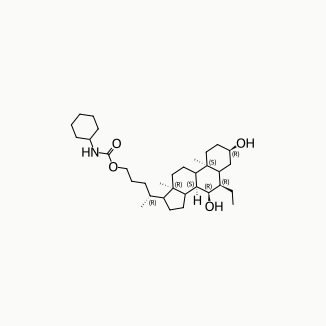 CC[C@@H]1C2C[C@H](O)CC[C@]2(C)C2CC[C@@]3(C)C(CCC3[C@H](C)CCCOC(=O)NC3CCCCC3)[C@@H]2[C@@H]1O